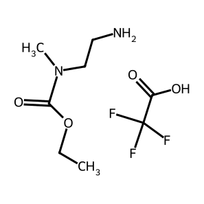 CCOC(=O)N(C)CCN.O=C(O)C(F)(F)F